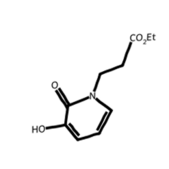 CCOC(=O)CCn1cccc(O)c1=O